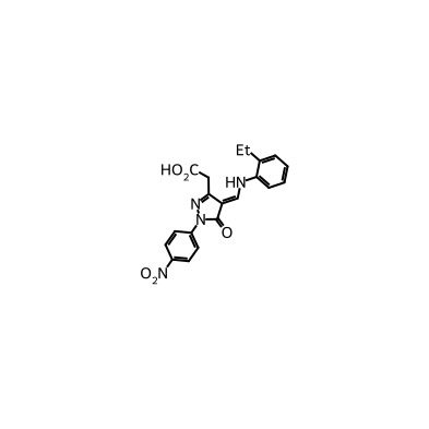 CCc1ccccc1NC=C1C(=O)N(c2ccc([N+](=O)[O-])cc2)N=C1CC(=O)O